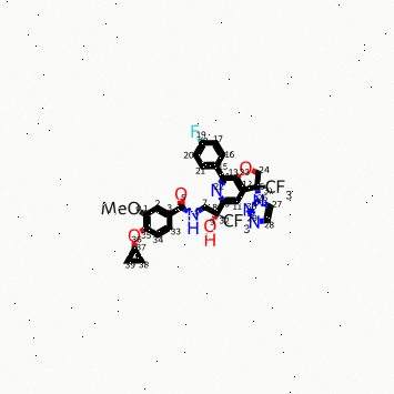 COc1cc(C(=O)NC[C@](O)(c2cc3c(c(-c4ccc(F)cc4)n2)OC[C@@]3(n2ccnn2)C(F)(F)F)C(F)(F)F)ccc1OC1CC1